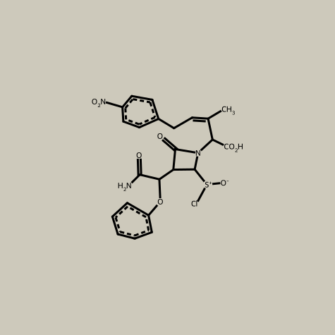 CC(=CCc1ccc([N+](=O)[O-])cc1)C(C(=O)O)N1C(=O)C(C(Oc2ccccc2)C(N)=O)C1[S+]([O-])Cl